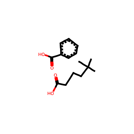 CC(C)(C)CCCC(=O)O.O=C(O)c1ccccc1